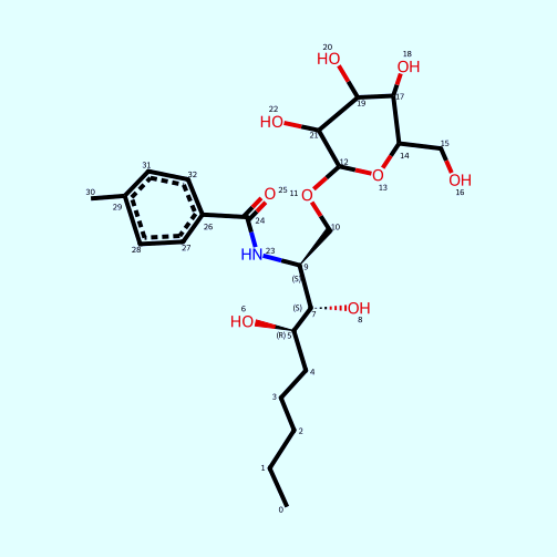 CCCCC[C@@H](O)[C@@H](O)[C@H](COC1OC(CO)C(O)C(O)C1O)NC(=O)c1ccc(C)cc1